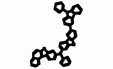 c1ccc(N(c2ccc3c(c2)oc2ccc(-c4ccc5c(c4)c4ccccc4n5-c4ccccc4)cc23)c2ccc3c(c2)oc2ccc4ccccc4c23)cc1